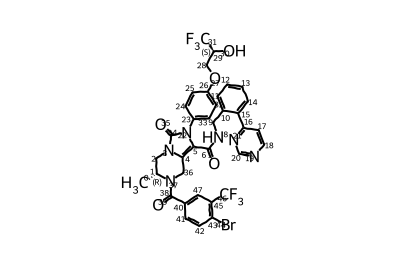 C[C@@H]1Cn2c(c(C(=O)NCc3ccccc3-c3ccncn3)n(-c3ccc(OC[C@H](O)C(F)(F)F)cc3)c2=O)CN1C(=O)c1ccc(Br)c(C(F)(F)F)c1